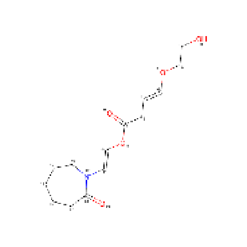 O=C(CC=COCCO)OC=CN1CCCCCC1=O